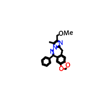 COCc1nc2n(c1C)N=C(c1ccccc1)c1cc3c(cc1C2)OCO3